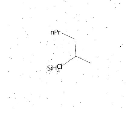 CCCCC(C)Cl.[SiH4]